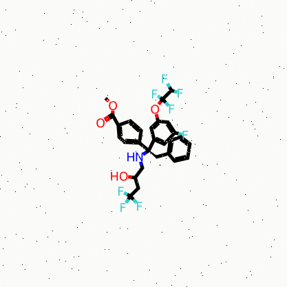 COC(=O)c1ccc([C@@](Cc2ccccc2)(NCC(O)CC(F)(F)F)c2cc(F)cc(OC(F)(F)C(F)F)c2)cc1